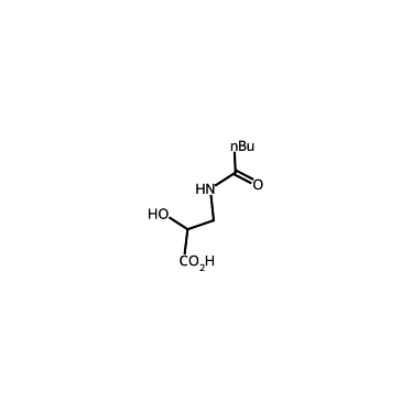 CCCCC(=O)NCC(O)C(=O)O